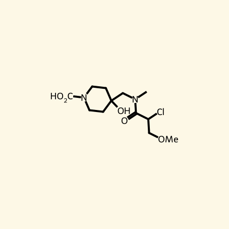 COCC(Cl)C(=O)N(C)CC1(O)CCN(C(=O)O)CC1